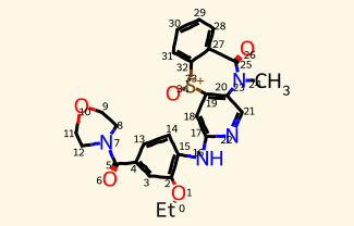 CCOc1cc(C(=O)N2CCOCC2)ccc1Nc1cc2c(cn1)N(C)C(=O)c1ccccc1[S+]2[O-]